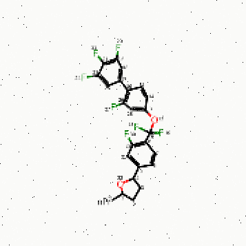 CCCC1CCC(c2ccc(C(F)(F)Oc3ccc(-c4cc(F)c(F)c(F)c4)c(F)c3)c(F)c2)O1